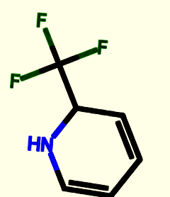 FC(F)(F)C1C=CC=CN1